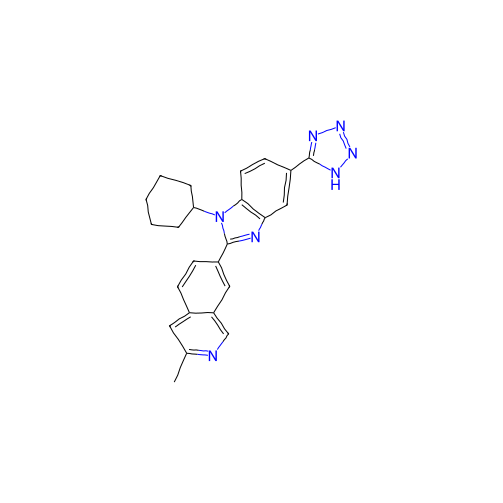 Cc1cc2ccc(-c3nc4cc(-c5nnn[nH]5)ccc4n3C3CCCCC3)cc2cn1